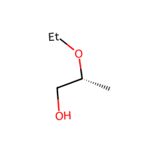 CCO[C@H](C)CO